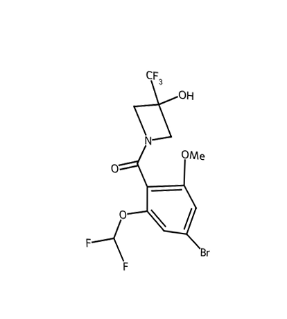 COc1cc(Br)cc(OC(F)F)c1C(=O)N1CC(O)(C(F)(F)F)C1